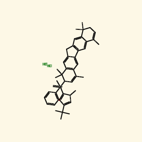 Cl.Cl.[CH2]=[Zr]([CH3])([C]1=CC(C(C)(C)C)=CC1C)([c]1ccccc1)[CH]1C=C(C)c2cc3c(cc2C1(C)C)Cc1cc2c(cc1-3)C(C)=CCC2(C)C